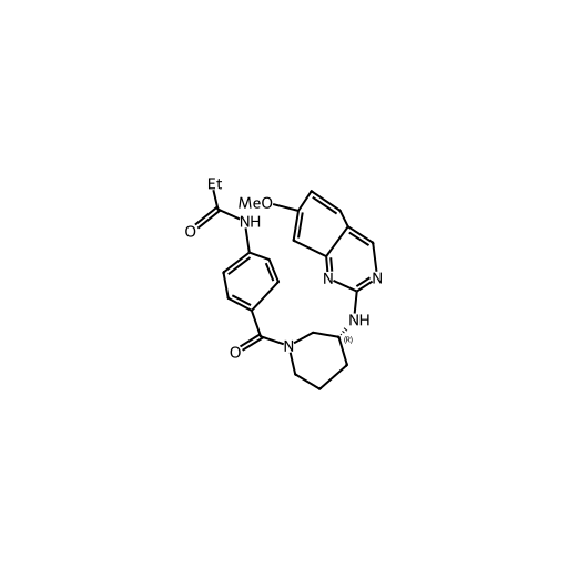 CCC(=O)Nc1ccc(C(=O)N2CCC[C@@H](Nc3ncc4ccc(OC)cc4n3)C2)cc1